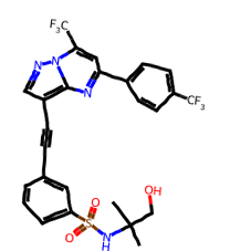 CC(C)(CO)NS(=O)(=O)c1cccc(C#Cc2cnn3c(C(F)(F)F)cc(-c4ccc(C(F)(F)F)cc4)nc23)c1